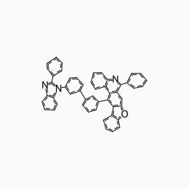 c1ccc(-c2nc3ccccc3c3c(-c4cccc(-c5cccc(-n6c(-c7ccccc7)nc7ccccc76)c5)c4)c4c(cc23)oc2ccccc24)cc1